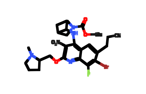 CN1CCCC1COc1nc2c(F)c(Br)c(CCC#N)cc2c(NC2C3CC2N(C(=O)OC(C)(C)C)C3)c1[N+](=O)[O-]